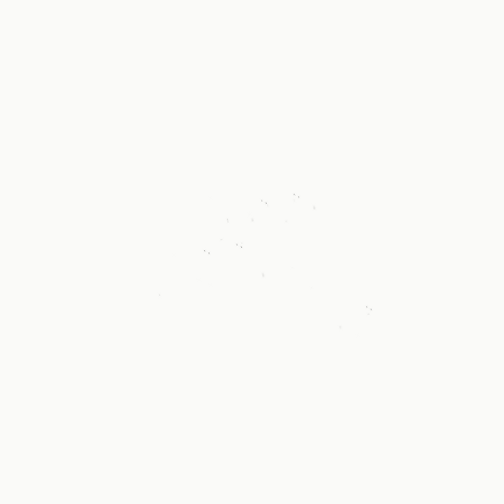 CC(C)c1cccc(C(C)C)c1NC(=O)Nc1c(-c2cccc(OCc3cccnc3)c2)c2cccnc2n(CC2CCCCC2)c1=O